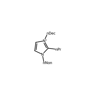 CCCCCCCCCC[n+]1ccn(CCCCCCCCC)c1CCC